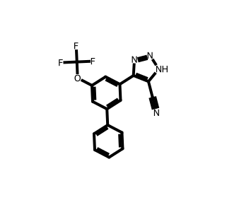 N#Cc1[nH]nnc1-c1cc(OC(F)(F)F)cc(-c2ccccc2)c1